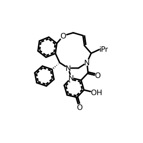 CC(C)C1/C=C/COc2ccccc2[C@@H](c2ccccc2)N2CN1C(=O)c1c(O)c(=O)ccn12